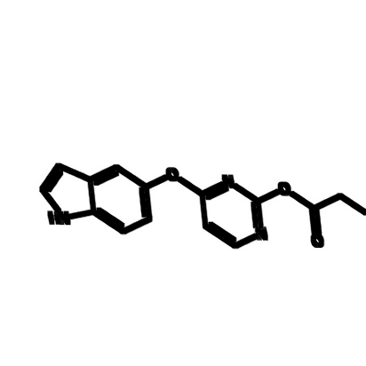 CCC(=O)Oc1nccc(Oc2ccc3[nH]ccc3c2)n1